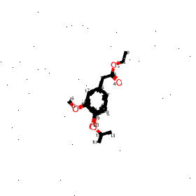 CCOC(=O)Cc1ccc(OC(C)C)c(OC)c1